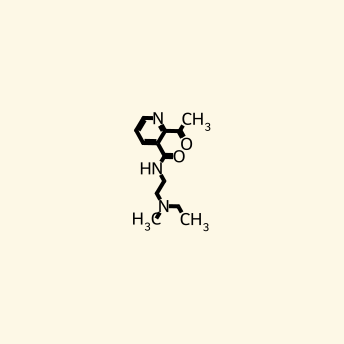 CCN(C)CCNC(=O)c1cccnc1C(C)=O